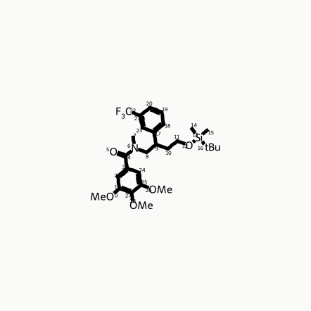 COc1cc(C(=O)N(C)CC(CCO[Si](C)(C)C(C)(C)C)c2cccc(C(F)(F)F)c2)cc(OC)c1OC